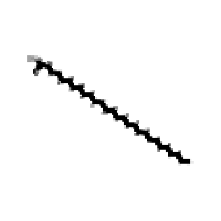 CCCCCCCCCCCCCCCCCCCCCCCCCCCC(=O)O